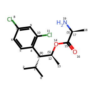 CC(C)[C@H](c1ccc(Cl)cc1Cl)[C@H](C)OC(=O)[C@H](C)N